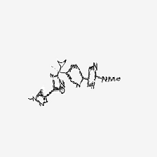 CNc1ncc(-c2ccc([C@@](C)(c3noc(-c4cnn(C)c4)n3)C3CC3)cn2)cn1